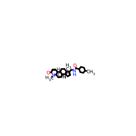 CC1CCC(C(=O)NCC2CC[C@H]3[C@@H]4CCC5N(C)C(=O)C=C[C@]5(C)[C@@H]4CC[C@]23C)CC1